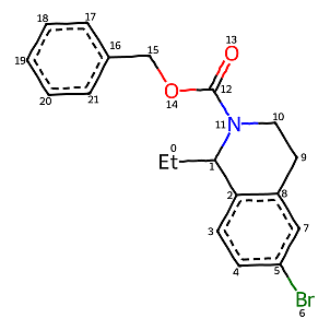 CCC1c2ccc(Br)cc2CCN1C(=O)OCc1ccccc1